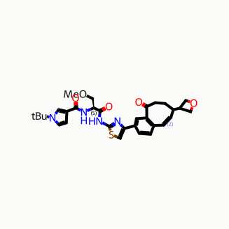 COC[C@H](NC(=O)c1ccn(C(C)(C)C)c1)C(=O)Nc1nc(-c2ccc3c(c2)C(=O)CCC(C2COC2)/C=C\3)cs1